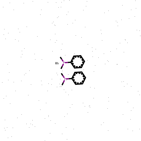 CP(C)c1ccccc1.CP(C)c1ccccc1.[Rh]